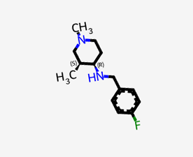 C[C@H]1CN(C)CC[C@H]1NCc1ccc(F)cc1